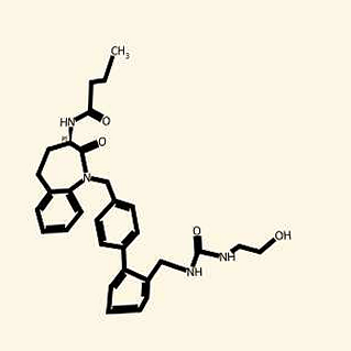 CCCC(=O)N[C@@H]1CCc2ccccc2N(Cc2ccc(-c3ccccc3CNC(=O)NCCO)cc2)C1=O